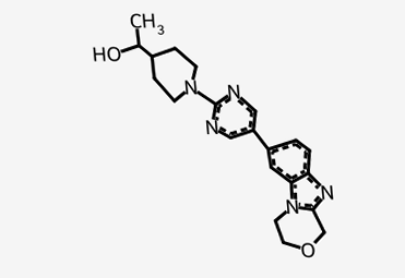 CC(O)C1CCN(c2ncc(-c3ccc4nc5n(c4c3)CCOC5)cn2)CC1